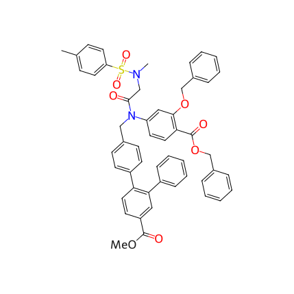 COC(=O)c1ccc(-c2ccc(CN(C(=O)CN(C)S(=O)(=O)c3ccc(C)cc3)c3ccc(C(=O)OCc4ccccc4)c(OCc4ccccc4)c3)cc2)c(-c2ccccc2)c1